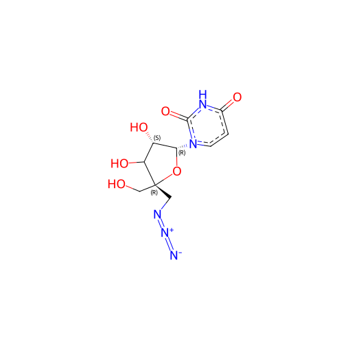 [N-]=[N+]=NC[C@]1(CO)O[C@@H](n2ccc(=O)[nH]c2=O)[C@@H](O)C1O